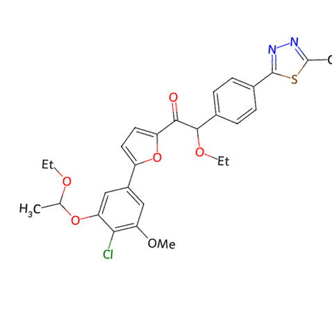 CCOC(C)Oc1cc(-c2ccc(C(=O)C(OCC)c3ccc(-c4nnc(C)s4)cc3)o2)cc(OC)c1Cl